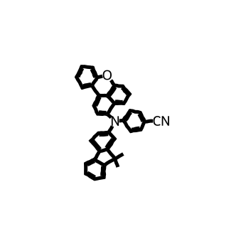 CC1(C)c2ccccc2-c2ccc(N(c3ccc(C#N)cc3)c3ccc4c5c(cccc35)Oc3ccccc3-4)cc21